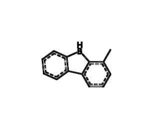 Cc1cccc2c1Bc1ccccc1-2